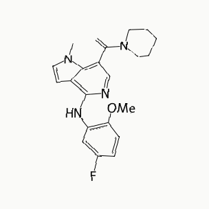 C=C(c1cnc(Nc2cc(F)ccc2OC)c2ccn(C)c12)N1CCCCC1